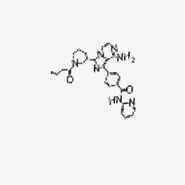 C=CCC(=O)N1CCCC(c2nc(-c3ccc(C(=O)Nc4ccccn4)cc3)c3c(N)nccn23)C1